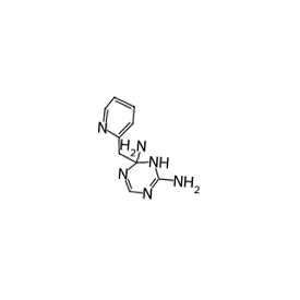 NC1=NC=NC(N)(Cc2ccccn2)N1